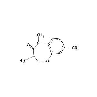 CC1COc2cc(C#N)ccc2N(C)C1=O